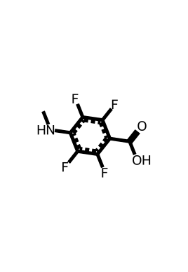 CNc1c(F)c(F)c(C(=O)O)c(F)c1F